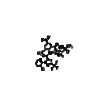 Cc1cc([N+](=O)[O-])cc(C(=O)NC(C)(C)CS(C)(=N)=O)c1NC(=O)c1cc(C(F)(F)F)nn1-c1ncccc1Cl